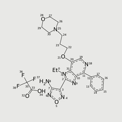 CCn1c(-c2nonc2N)nc2c(-c3ccccc3)ncc(OCCCN3CCOCC3)c21.O=C(O)C(F)(F)F